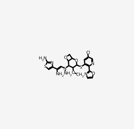 COC1C(Sc2cc(Cl)cnc2-c2ncco2)OC2COC2C1N(N)/C=C(\N)c1csc(N)n1